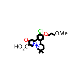 COCCCOc1cc2c(cc1Cl)-c1cc(=O)c(C(=O)O)cn1N1CC(C)(C)CCC21